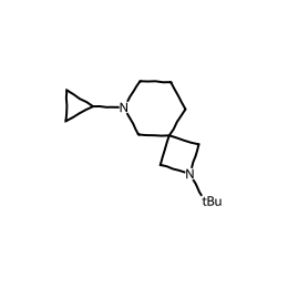 CC(C)(C)N1CC2(CCCN(C3CC3)C2)C1